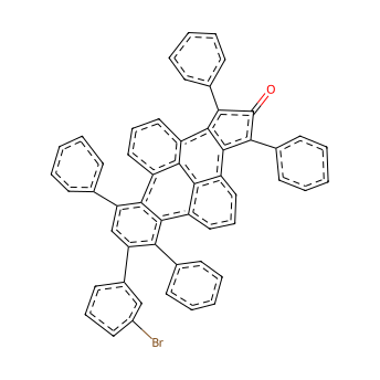 O=c1c(-c2ccccc2)c2c3cccc4c5c(-c6ccccc6)cc(-c6cccc(Br)c6)c(-c6ccccc6)c5c5cccc(c2c1-c1ccccc1)c5c43